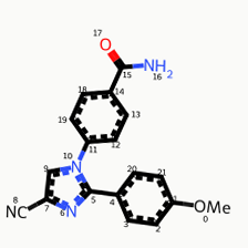 COc1ccc(-c2nc(C#N)cn2-c2ccc(C(N)=O)cc2)cc1